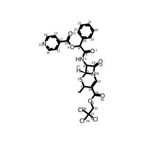 CC1S[C@@H]2C(NC(=O)C(OC(=O)c3ccncc3)c3ccccc3)C(=O)N2C=C1C(=O)OCC(Cl)(Cl)Cl